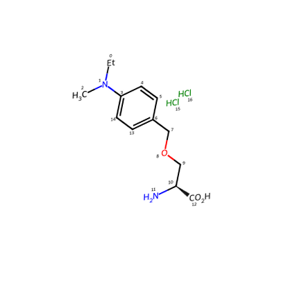 CCN(C)c1ccc(COC[C@H](N)C(=O)O)cc1.Cl.Cl